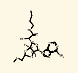 CCCCNC(=O)C(O)[C@H]1O[C@@H](n2cnc3c(N)ncnc32)[C@@H]2OC(COC)O[C@@H]21